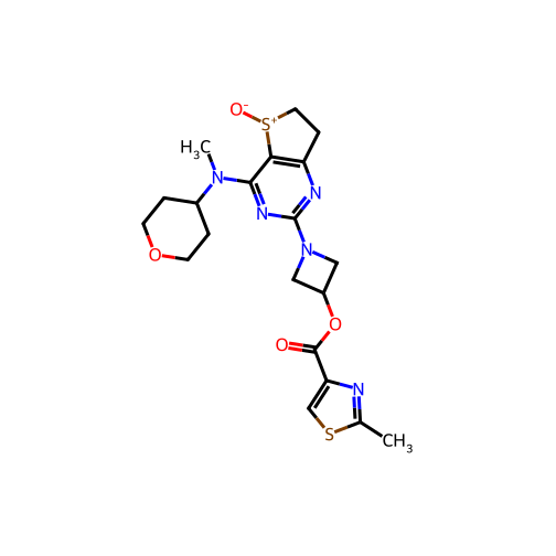 Cc1nc(C(=O)OC2CN(c3nc4c(c(N(C)C5CCOCC5)n3)[S+]([O-])CC4)C2)cs1